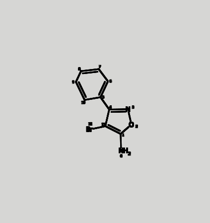 Nc1onc(-c2ccccc2)c1Br